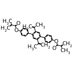 C=C(C)C(=O)Oc1ccc(-c2cc(C(=C)C)c(-c3ccc(OC(=O)C(=C)C)cc3)cc2C(=C)C)cc1